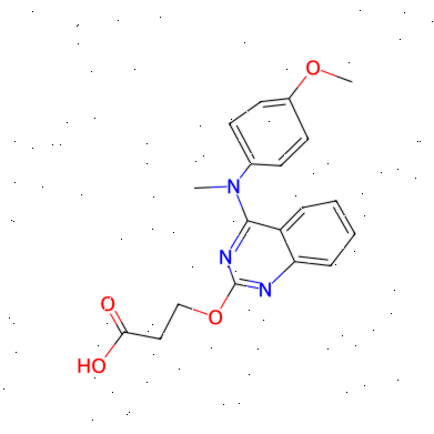 COc1ccc(N(C)c2nc(OCCC(=O)O)nc3ccccc23)cc1